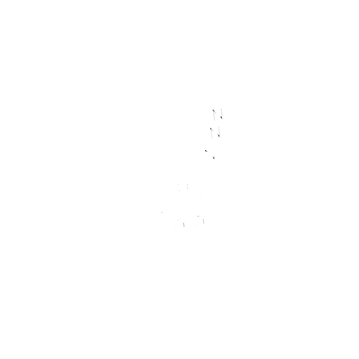 [N-]=[N+]=Nc1ccccc1C(=O)OC(C(=O)c1ccccc1)c1ccccc1